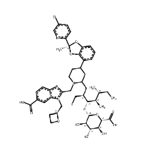 CC[C@@H](C)[C@@H](C)[C@H](O[C@@H]1O[C@H](C(=O)O)[C@@H](O)[C@H](O)[C@H]1O)[C@@H](CI)CC1CC(c2cccc3c2O[C@@](C)(c2ccc(Cl)cn2)O3)CCN1Cc1nc2ccc(C(=O)O)cc2n1C[C@@H]1CCO1